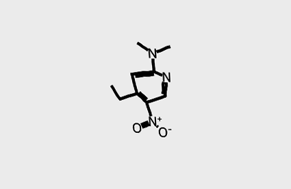 CCc1cc(N(C)C)ncc1[N+](=O)[O-]